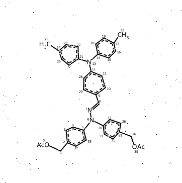 CC(=O)OCc1ccc(N(N=Cc2ccc(N(c3ccc(C)cc3)c3ccc(C)cc3)cc2)c2ccc(COC(C)=O)cc2)cc1